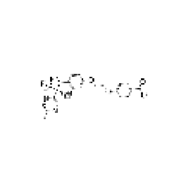 COC(=O)c1ccc(OCCOc2ccc(C(C)C(O)(c3cnc(C)cn3)C(F)(F)F)c(Cl)c2)cc1